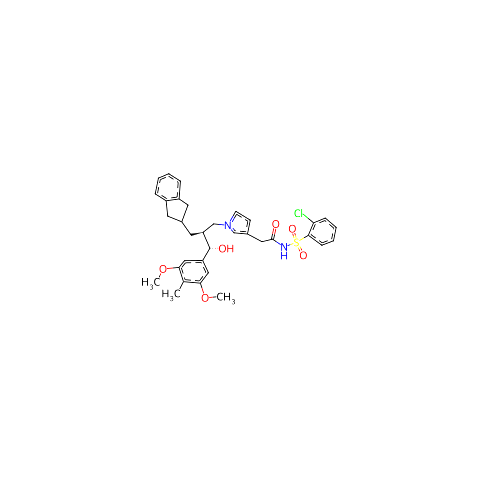 COc1cc([C@@H](O)[C@@H](CC2Cc3ccccc3C2)Cn2ccc(CC(=O)NS(=O)(=O)c3ccccc3Cl)c2)cc(OC)c1C